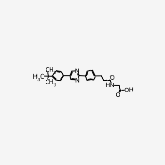 CC(C)(C)c1ccc(-c2cnc(-c3ccc(CCC(=O)NCC(=O)O)cc3)nc2)cc1